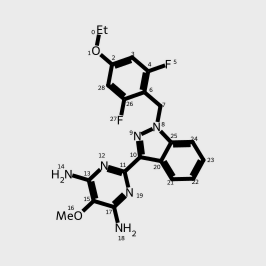 CCOc1cc(F)c(Cn2nc(-c3nc(N)c(OC)c(N)n3)c3ccccc32)c(F)c1